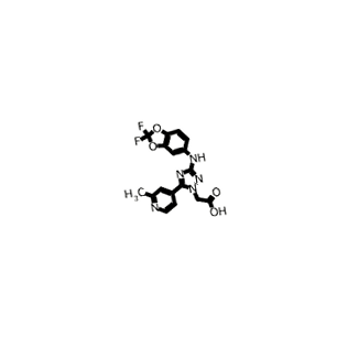 Cc1cc(-c2nc(Nc3ccc4c(c3)OC(F)(F)O4)nn2CC(=O)O)ccn1